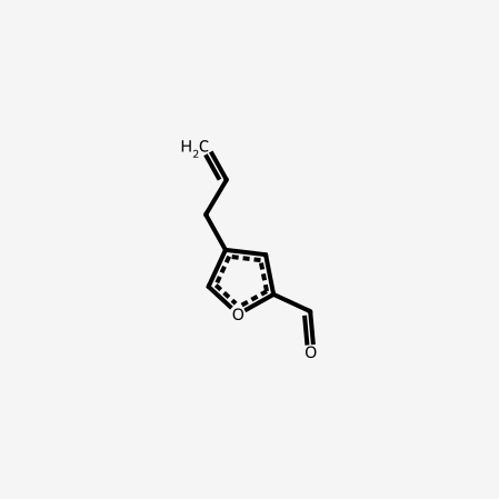 C=CCc1coc(C=O)c1